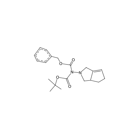 CC(C)(C)OC(=O)N(C(=O)OCc1ccccc1)N1CC2=CCCC2C1